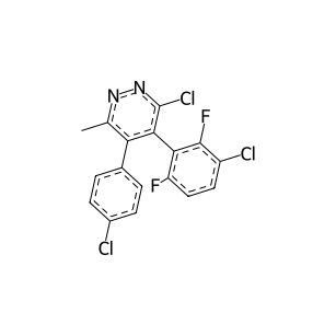 Cc1nnc(Cl)c(-c2c(F)ccc(Cl)c2F)c1-c1ccc(Cl)cc1